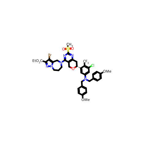 CCOC(=O)c1nn2c(c1Br)CN(c1nc(S(C)(=O)=O)nc3c1CO[C@@H](c1cc(N(Cc4ccc(OC)cc4)Cc4ccc(OC)cc4)cc(Cl)c1C(F)(F)F)C3)CCC2